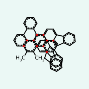 Cc1ccc(N(C2=CC=C3C(=Cc4ccccc43)C23C=CC=C2C3=Cc3ccccc32)c2ccccc2-c2ccccc2-c2ccccc2)c(-c2cccc3c2Cc2ccccc2-3)c1C